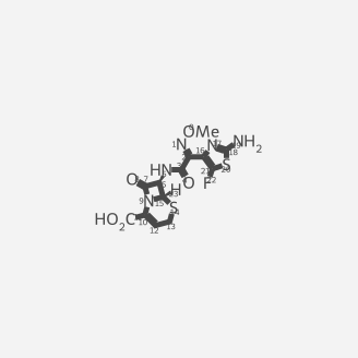 CON=C(C(=O)N[C@@H]1C(=O)N2C(C(=O)O)=CCS[C@@H]12)c1nc(N)sc1F